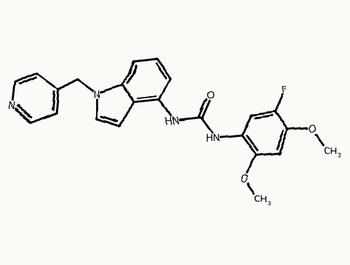 COc1cc(OC)c(NC(=O)Nc2cccc3c2ccn3Cc2ccncc2)cc1F